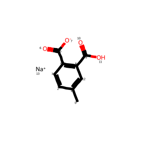 Cc1ccc(C(=O)[O-])c(C(=O)O)c1.[Na+]